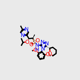 COc1cccc(OC)c1-n1c(NS(=O)(=O)[C@H](C)[C@H](OC(C)C)c2cnc(C)cn2)nnc1[C@@H]1CCCCO1